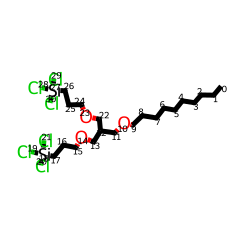 CCCCCCCCCCOCC(COCCC[Si](Cl)(Cl)Cl)COCCC[Si](Cl)(Cl)Cl